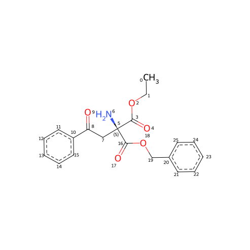 CCOC(=O)[C@@](N)(CC(=O)c1ccccc1)C(=O)OCc1ccccc1